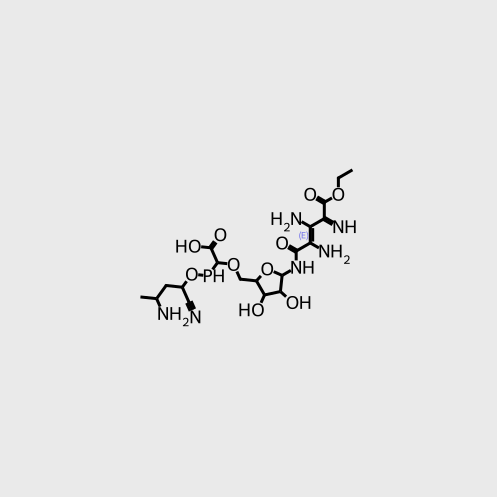 CCOC(=O)C(=N)/C(N)=C(\N)C(=O)NC1OC(COC(POC(C#N)CC(C)N)C(=O)O)C(O)C1O